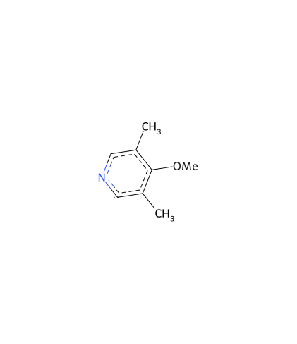 COc1c(C)[c]ncc1C